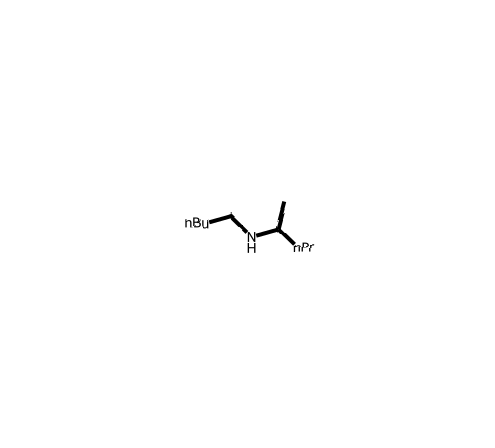 CCCC[CH]NC(C)CCC